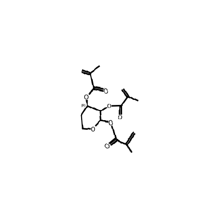 C=C(C)C(=O)OC1OCC[C@@H](OC(=O)C(=C)C)C1OC(=O)C(=C)C